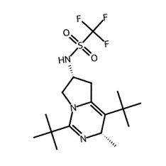 C[C@@H]1N=C(C(C)(C)C)N2C[C@H](NS(=O)(=O)C(F)(F)F)CC2=C1C(C)(C)C